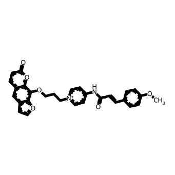 COc1ccc(/C=C/C(=O)Nc2cc[n+](CCCOc3c4occc4cc4ccc(=O)oc34)cc2)cc1